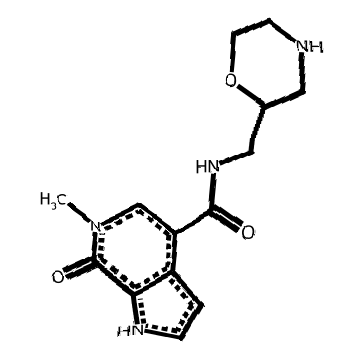 Cn1cc(C(=O)NCC2CNCCO2)c2cc[nH]c2c1=O